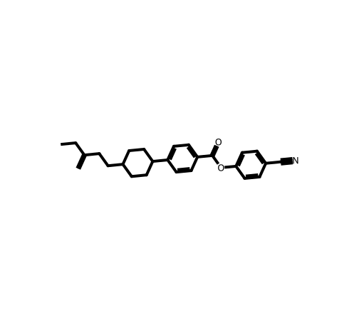 C=C(CC)CCC1CCC(c2ccc(C(=O)Oc3ccc(C#N)cc3)cc2)CC1